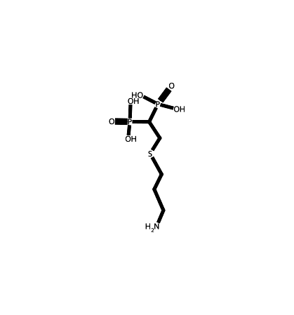 NCCCSCC(P(=O)(O)O)P(=O)(O)O